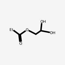 CCC(=O)OCC(O)O